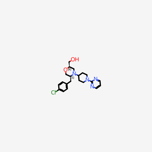 OC[C@H]1CN(C2CCN(c3ncccn3)CC2)[C@@H](Cc2ccc(Cl)cc2)CO1